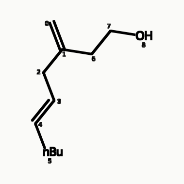 C=C(C/C=C/CCCC)CCO